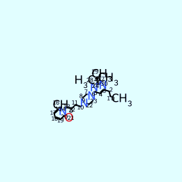 CCCc1cc(N2CCN(CCCCn3c(C)cccc3=O)CC2)nc(C(C)(C)C)n1